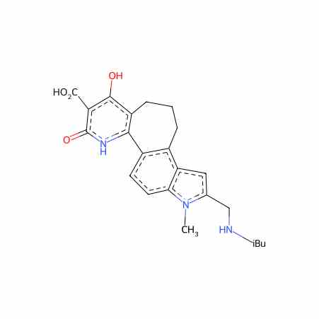 CCC(C)NCc1cc2c3c(ccc2n1C)-c1[nH]c(=O)c(C(=O)O)c(O)c1CCC3